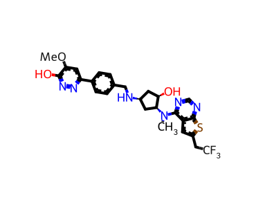 COc1cc(-c2ccc(CN[C@H]3C[C@@H](O)[C@@H](N(C)c4ncnc5sc(CC(F)(F)F)cc45)C3)cc2)nnc1O